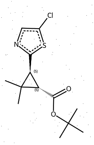 CC(C)(C)OC(=O)[C@H]1[C@H](c2ncc(Cl)s2)C1(C)C